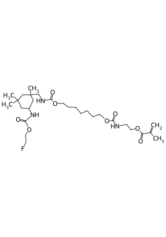 C=C(C)C(=O)OCCNC(=O)OCCCCCCCOC(=O)NCC1(C)CC(NC(=O)OCCF)CC(C)(C)C1